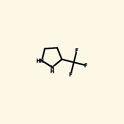 FC(F)(F)C1CCNN1